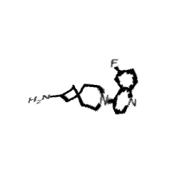 NC1CC2(CCN(c3ccnc4ccc(F)cc34)CC2)C1